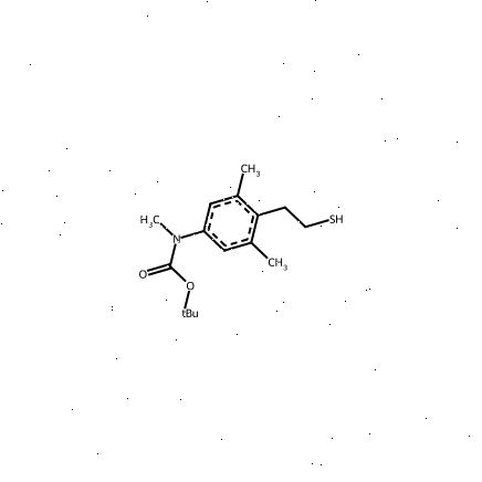 Cc1cc(N(C)C(=O)OC(C)(C)C)cc(C)c1CCS